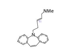 CNC/C=C/CCN1c2ccccc2C=Cc2ccccc21